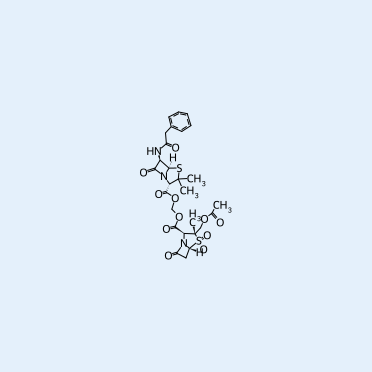 CC(=O)OC[C@@]1(C)[C@H](C(=O)OCOC(=O)[C@@H]2N3C(=O)[C@@H](NC(=O)Cc4ccccc4)[C@H]3SC2(C)C)N2C(=O)C[C@H]2S1(=O)=O